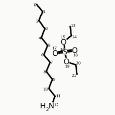 CCCCCCCCCCCCN.CCOS(=O)(=O)OCC